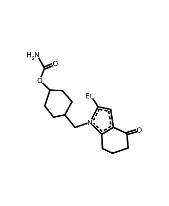 CCc1cc2c(n1CC1CCC(OC(N)=O)CC1)CCCC2=O